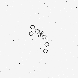 O=S(=O)(c1ccc(Sc2ccc(-c3ccccc3)cc2)cc1)c1ccc(-c2ccccc2-c2ccccc2)cc1